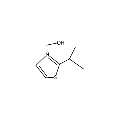 CC(C)c1nccs1.CO